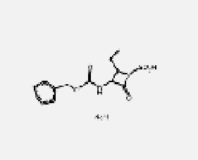 O=C(NC1C(=O)N(S(=O)(=O)O)C1CI)OCc1ccccc1.[NaH]